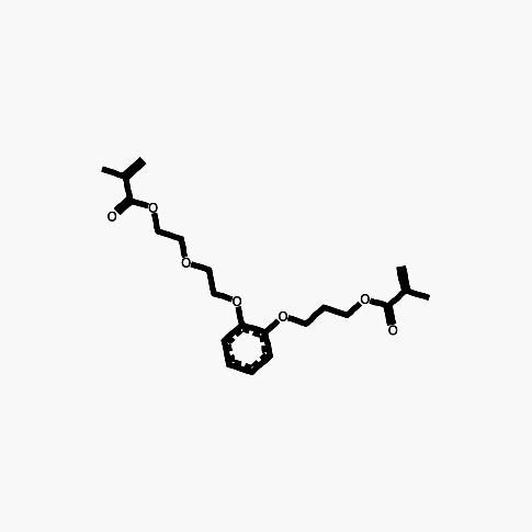 C=C(C)C(=O)OCCCOc1ccccc1OCCOCCOC(=O)C(=C)C